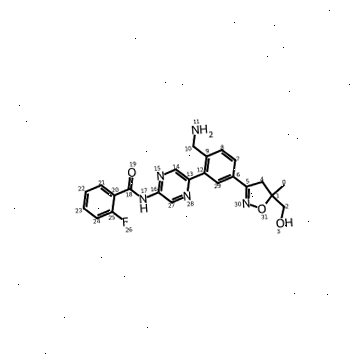 CC1(CO)CC(c2ccc(CN)c(-c3cnc(NC(=O)c4ccccc4F)cn3)c2)=NO1